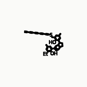 C#CC#CC#CC#CC#CSCc1cc(C)cc(C2CCC3C4CC(c5cc(C)cc(CC)c5O)C(C4)C23)c1O